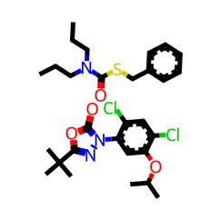 CC(C)Oc1cc(-n2nc(C(C)(C)C)oc2=O)c(Cl)cc1Cl.CCCN(CCC)C(=O)SCc1ccccc1